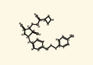 CCc1ccc(CCOc2ccc(CC3SC(=O)N(COC(=O)C4CCC4)C3=O)cc2)nc1